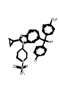 O=C(O)c1ccc(C(O)(c2ccc(Cl)cc2)c2ccc3nc(C4CC4)n(C4CCN(S(=O)(=O)C(F)(F)F)CC4)c3c2)cc1